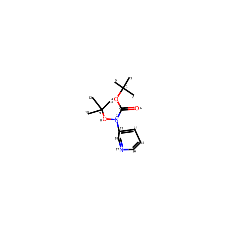 CC(C)(C)OC(=O)N(OC(C)(C)C)c1cccnc1